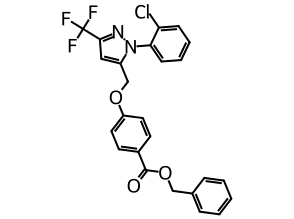 O=C(OCc1ccccc1)c1ccc(OCc2cc(C(F)(F)F)nn2-c2ccccc2Cl)cc1